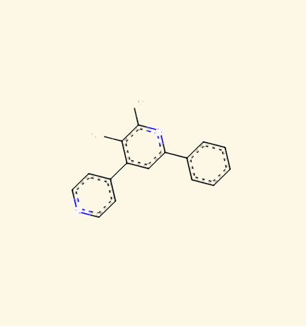 COc1nc(-c2ccccc2)cc(-c2ccncc2)c1C#N